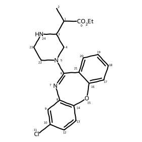 CCOC(=O)C(C)C1CN(C2=Nc3cc(Cl)ccc3Oc3ccccc32)CCN1